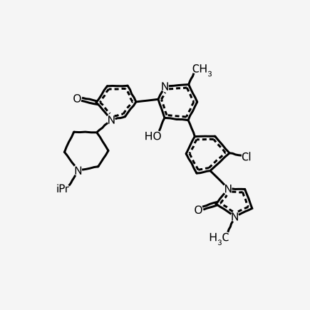 Cc1cc(-c2ccc(-n3ccn(C)c3=O)c(Cl)c2)c(O)c(-c2ccc(=O)n(C3CCN(C(C)C)CC3)c2)n1